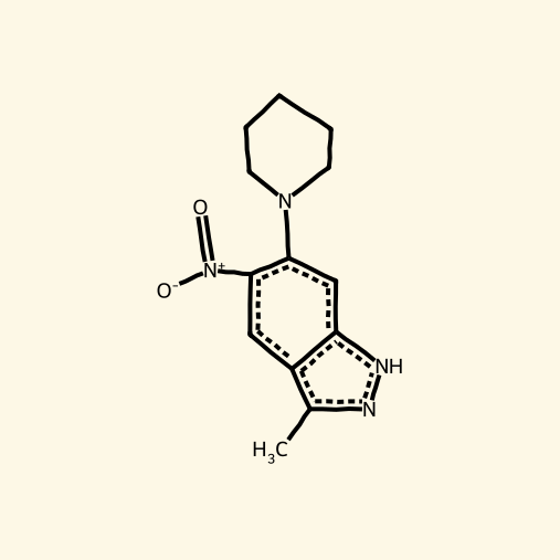 Cc1n[nH]c2cc(N3CCCCC3)c([N+](=O)[O-])cc12